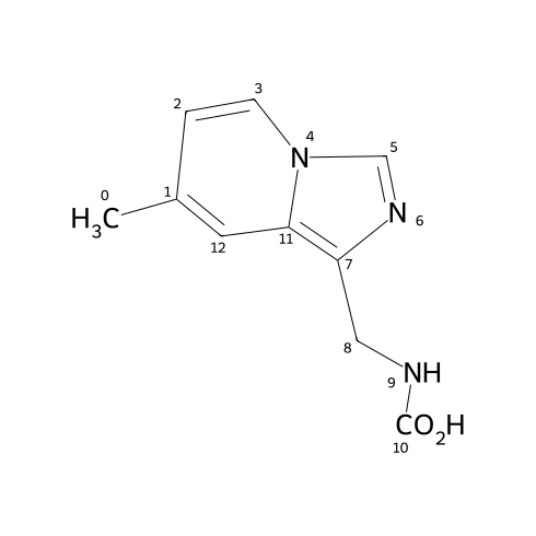 Cc1ccn2cnc(CNC(=O)O)c2c1